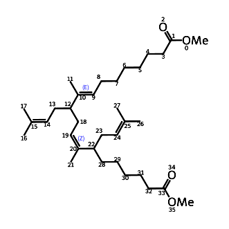 COC(=O)CCCCCC/C=C(\C)C(CC=C(C)C)C/C=C(/C)C(CC=C(C)C)CCCCCC(=O)OC